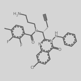 C#CC[C@H](c1nc2cc(Cl)ccc2c(=O)n1Nc1ccccc1)N(CCCN)C(=O)c1ccc(C)c(F)c1F